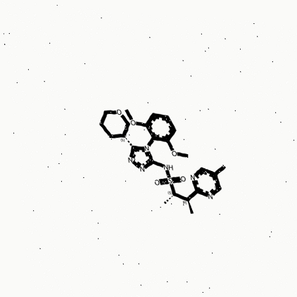 COc1cccc(OC)c1-n1c(NS(=O)(=O)[C@@H](C)[C@H](C)c2ncc(C)cn2)nnc1[C@@H]1CCCOC1